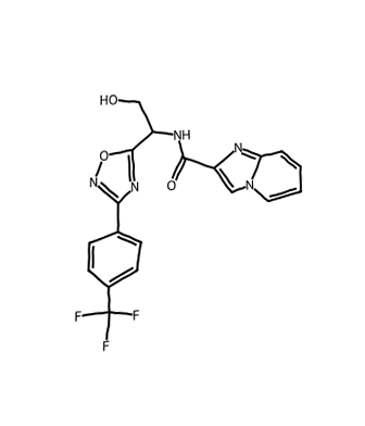 O=C(NC(CO)c1nc(-c2ccc(C(F)(F)F)cc2)no1)c1cn2ccccc2n1